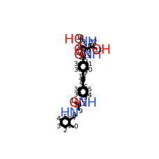 Cc1ccccc1CNCC(=O)Nc1ccc(C#Cc2ccc(C(=O)N[C@@H](C(=O)NO)[C@H](C)O)cc2)cc1